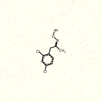 C/C(Cc1ccc(Cl)cc1Cl)=N/OC(C)C